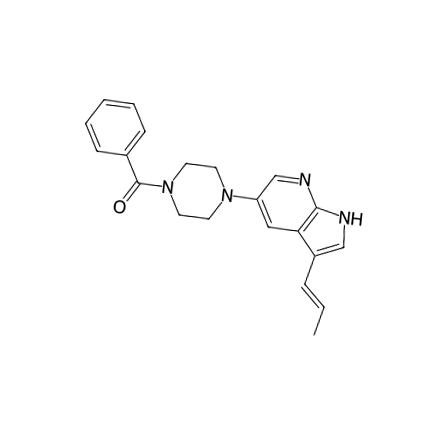 C/C=C/c1c[nH]c2ncc(N3CCN(C(=O)c4ccccc4)CC3)cc12